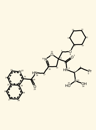 CC(C)C[C@H](NC(=O)C1(COC2CCCCC2)CC(CNC(=O)c2nccc3ccccc23)=NO1)B(O)O